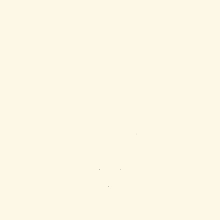 c1ccc(-c2nc(-c3ccccc3)nc(-c3ccc4c(c3)oc3ccc(-c5ccc6oc7cc8c(cc7c6c5)oc5ccccc58)cc34)n2)cc1